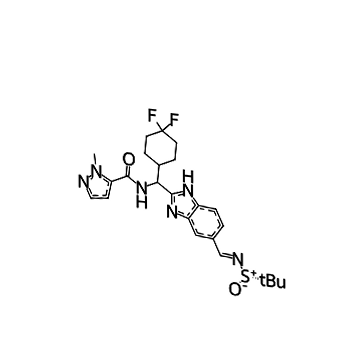 Cn1nccc1C(=O)NC(c1nc2cc(/C=N/[S@@+]([O-])C(C)(C)C)ccc2[nH]1)C1CCC(F)(F)CC1